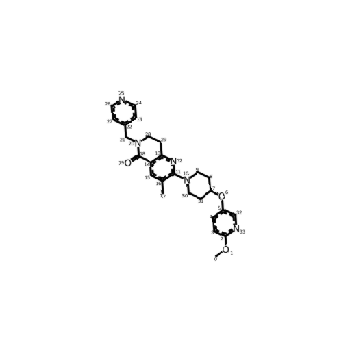 COc1ccc(OC2CCN(c3nc4c(cc3C)C(=O)N(Cc3ccncc3)CC4)CC2)cn1